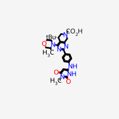 CC1COCCN1c1nc(-c2ccc(Nc3cc(=O)n(C)c(=O)[nH]3)cc2)nc2c1[C@H](C(C)(C)C)CN(C(=O)O)C2